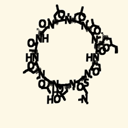 C=CC1C[C@@H](C)[C@H]([C@H]2C(=O)N[C@@H](CC)C(=O)N(C)[C@H](SCCN(C)C)C(=O)N(C)[C@@H](CC(C)(C)O)C(=O)N[C@@H](C(C)C)C(=O)N(C)[C@@H](CC(C)C)C(=O)N[C@@H](C)C(=O)N[C@H](C)C(=O)N(C)[C@@H](CC(C)C)C(=O)N(C)[C@@H](CC(C)C)C(=O)N(C)[C@@H](C(C)C)C(=O)N2C)O1